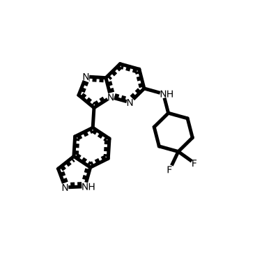 FC1(F)CCC(Nc2ccc3ncc(-c4ccc5[nH]ncc5c4)n3n2)CC1